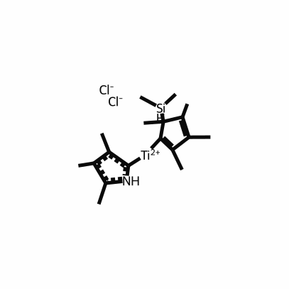 CC1=C(C)C(C)([SiH](C)C)[C]([Ti+2][c]2[nH]c(C)c(C)c2C)=C1C.[Cl-].[Cl-]